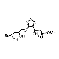 COC(=O)CC(C)c1nsnc1OCC(O)CN(O)C(C)(C)C